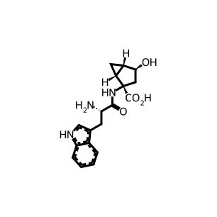 N[C@@H](Cc1c[nH]c2ccccc12)C(=O)N[C@@]1(C(=O)O)C[C@H](O)[C@H]2C[C@H]21